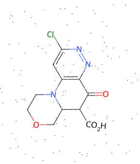 O=C(O)C1C(=O)c2nnc(Cl)cc2N2CCOCC12